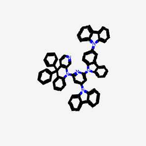 c1ccc(C2(c3ccccc3)c3ccccc3N(c3cc(-n4c5ccccc5c5ccccc54)cc(-n4c5ccccc5c5cc(-n6c7ccccc7c7ccccc76)ccc54)n3)c3cnccc32)cc1